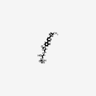 Cn1nnc(-c2ccc(-c3ccc(N4CC(COC[C@@H](O)COP(=O)(O)O)OC4=O)cc3F)cn2)n1